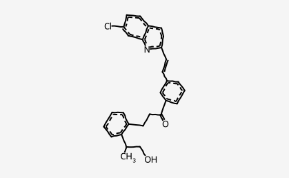 CC(CO)c1ccccc1CCC(=O)c1cccc(C=Cc2ccc3ccc(Cl)cc3n2)c1